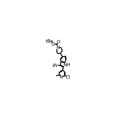 Cc1cc(-c2[nH]c3ccc(C4CCN(C(=O)OC(C)(C)C)CC4)cc3c2C(C)C)cc(Cl)n1